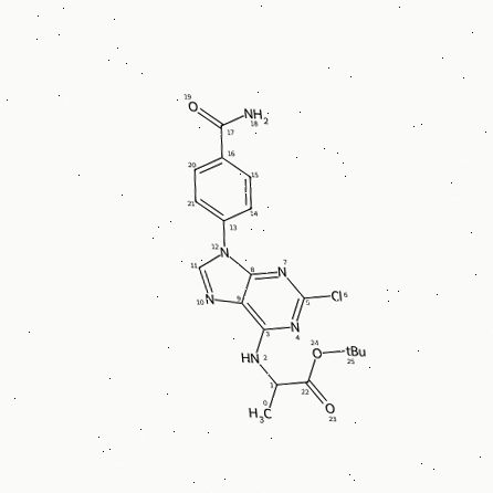 CC(Nc1nc(Cl)nc2c1ncn2-c1ccc(C(N)=O)cc1)C(=O)OC(C)(C)C